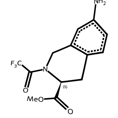 COC(=O)[C@@H]1Cc2ccc(N)cc2CN1C(=O)C(F)(F)F